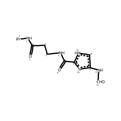 CC(C)NC(=O)CCNC(=O)c1nc(NC=O)c[nH]1